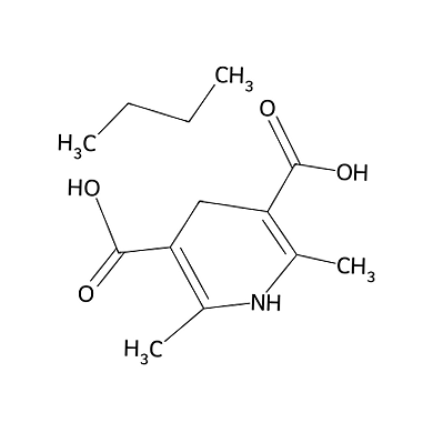 CC1=C(C(=O)O)CC(C(=O)O)=C(C)N1.CCCC